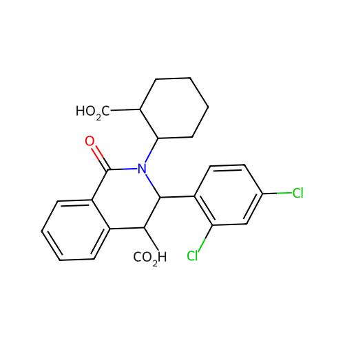 O=C(O)C1CCCCC1N1C(=O)c2ccccc2C(C(=O)O)C1c1ccc(Cl)cc1Cl